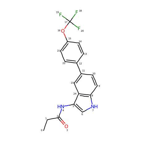 CCC(=O)Nc1c[nH]c2ccc(-c3ccc(OC(F)(F)F)cc3)cc12